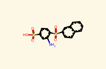 Nc1cc(S(=O)(=O)O)ccc1S(=O)(=O)c1ccc2ccccc2c1